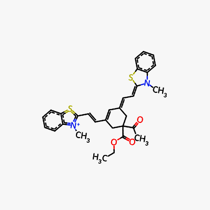 CCOC(=O)C1(C(C)=O)CC(/C=C/c2sc3ccccc3[n+]2C)=CC(=C/C=C2\Sc3ccccc3N2C)/C1